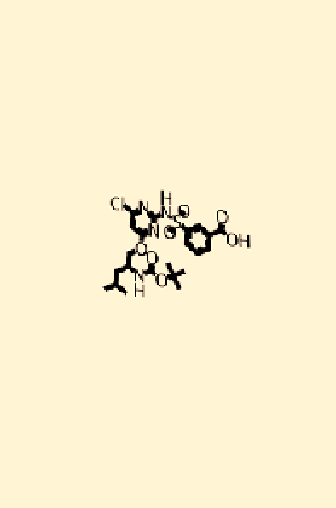 CC(C)CC(COc1cc(Cl)nc(NS(=O)(=O)c2cccc(C(=O)O)c2)n1)NC(=O)OC(C)(C)C